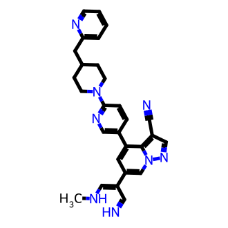 CN/C=C(\C=N)c1cc(-c2ccc(N3CCC(Cc4ccccn4)CC3)nc2)c2c(C#N)cnn2c1